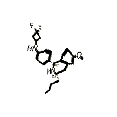 CCCC[C@H]1Cc2cc(OC)ccc2[C@@H](c2ccc(NC3CC(F)(F)C3)cc2)N1